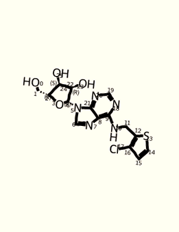 OC[C@H]1O[C@@H](n2cnc3c(NCc4sccc4Cl)ncnc32)[C@H](O)[C@@H]1O